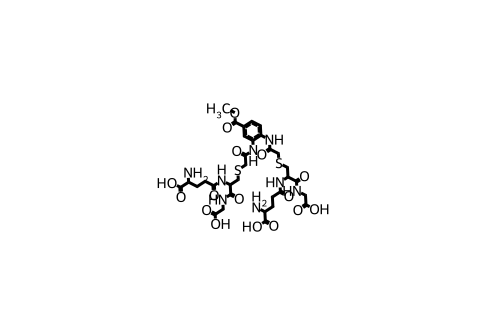 COC(=O)c1ccc(NC(=O)CSCC(NC(=O)CCC(N)C(=O)O)C(=O)NCC(=O)O)c(NC(=O)CSCC(NC(=O)CCC(N)C(=O)O)C(=O)NCC(=O)O)c1